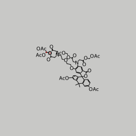 CC(=O)OCOC(=O)CN(CCOCCOc1cc2c(cc1N(CC(=O)OCOC(C)=O)CC(=O)OCOC(C)=O)C(=O)OC21c2ccc(OC(C)=O)cc2C(C)(C)c2cc(OC(C)=O)ccc21)CC(=O)OCOC(C)=O